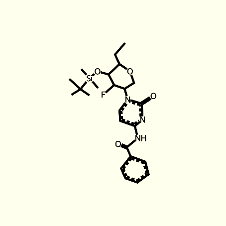 CCC1OCC(n2ccc(NC(=O)c3ccccc3)nc2=O)C(F)C1O[Si](C)(C)C(C)(C)C